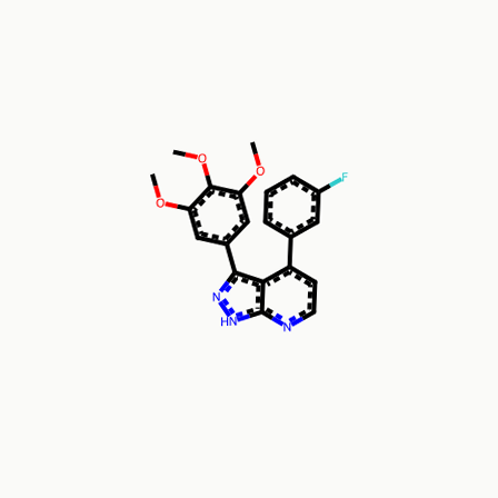 COc1cc(-c2n[nH]c3nccc(-c4cccc(F)c4)c23)cc(OC)c1OC